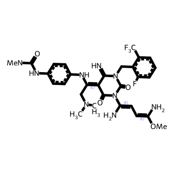 CNC(=O)Nc1ccc(N/C(CN(C)C)=C2\C(=N)N(Cc3c(F)cccc3C(F)(F)F)C(=O)N(/C(N)=C/C=C(\N)OC)C2=O)cc1